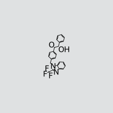 O=C(c1ccc(Cn2c(C(F)(F)F)nc3ccccc32)cc1)C(O)c1ccccc1